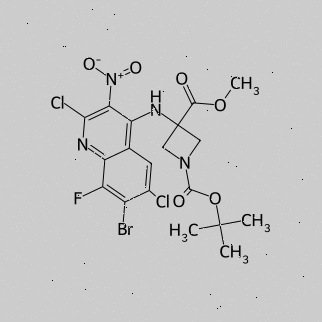 COC(=O)C1(Nc2c([N+](=O)[O-])c(Cl)nc3c(F)c(Br)c(Cl)cc23)CN(C(=O)OC(C)(C)C)C1